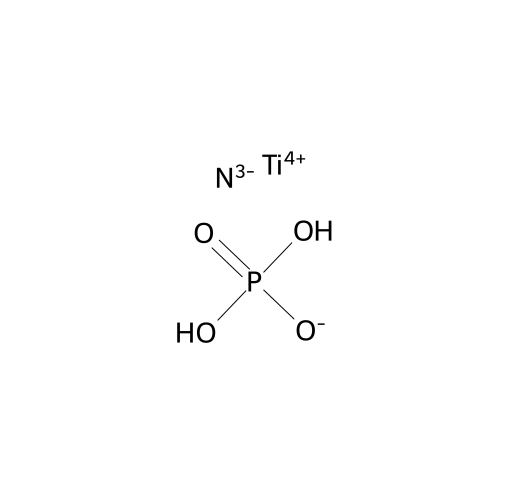 O=P([O-])(O)O.[N-3].[Ti+4]